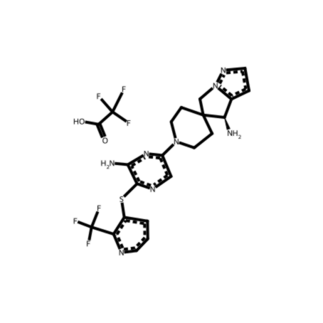 Nc1nc(N2CCC3(CC2)Cn2nccc2[C@H]3N)cnc1Sc1cccnc1C(F)(F)F.O=C(O)C(F)(F)F